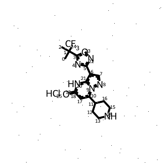 CC(C)(c1nc(-c2cnn3c(C4CCNCC4)cc(=O)[nH]c23)no1)C(F)(F)F.Cl